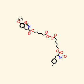 Cc1ccc(CC(N=C=O)C(=O)OCCCCCC(=O)OCOC(=O)CCCCCOC(=O)C(Cc2ccc(OC#N)cc2)N=C=O)cc1